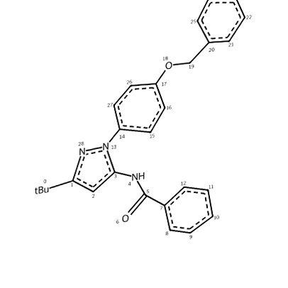 CC(C)(C)c1cc(NC(=O)c2ccccc2)n(-c2ccc(OCc3ccccc3)cc2)n1